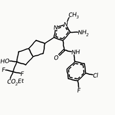 CCOC(=O)C(F)(F)C1(O)CC2CC(c3nn(C)c(N)c3C(=O)Nc3ccc(F)c(Cl)c3)CC2C1